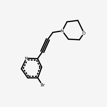 Brc1ccnc(C#CCN2CCOCC2)c1